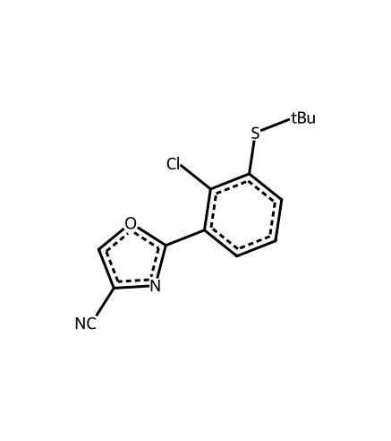 CC(C)(C)Sc1cccc(-c2nc(C#N)co2)c1Cl